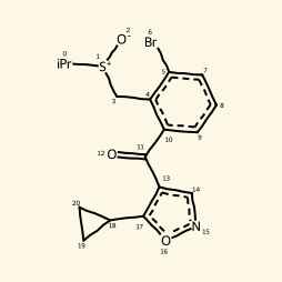 CC(C)[S+]([O-])Cc1c(Br)cccc1C(=O)c1cnoc1C1CC1